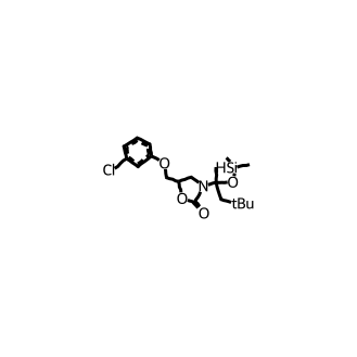 C[SiH](C)OC(C)(CC(C)(C)C)N1CC(COc2cccc(Cl)c2)OC1=O